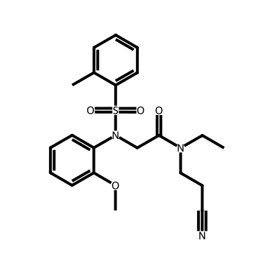 CCN(CCC#N)C(=O)CN(c1ccccc1OC)S(=O)(=O)c1ccccc1C